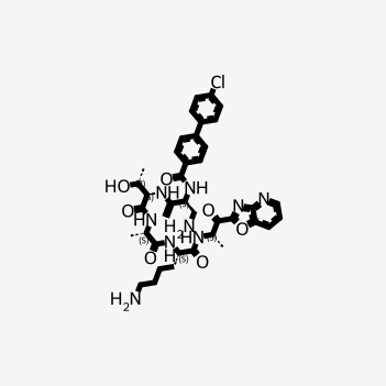 C=C(N[C@H](C(=O)N[C@@H](C)C(=O)N[C@@H](CCCCN)C(=O)N[C@@H](C)C(=O)c1nc2ncccc2o1)[C@@H](C)O)[C@H](CN)NC(=O)c1ccc(-c2ccc(Cl)cc2)cc1